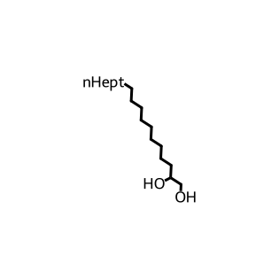 CCCCCCCCCCCCCCCCC(O)CO